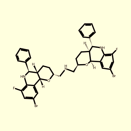 Fc1cc(Br)cc2c1N[C@@H](c1ccccc1)[C@@H]1CC[C@H](CNC[C@H]3CC[C@@H]4[C@H](O3)c3cc(Br)cc(F)c3N[C@H]4c3ccccc3)O[C@H]21